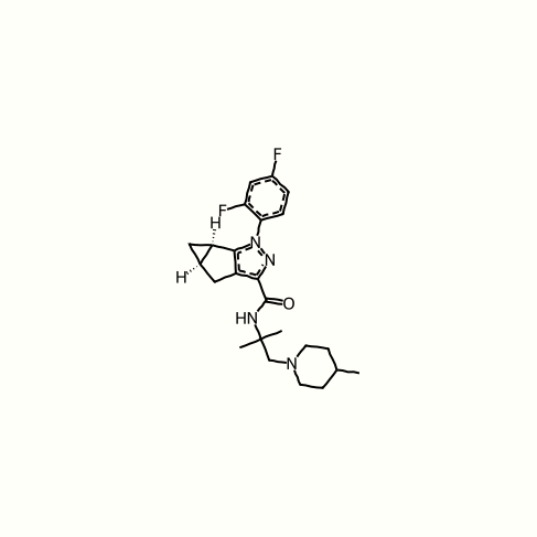 CC1CCN(CC(C)(C)NC(=O)c2nn(-c3ccc(F)cc3F)c3c2C[C@H]2C[C@@H]32)CC1